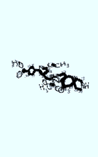 COc1cc(C(=O)[N+]2(C(C)C)N=CC3=C2C(=O)CC2(CCNCC2)C3)cc(-c2ccc(C(=O)O)cc2)n1